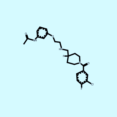 CC(=O)Nc1cccc(OCCNCC2(F)CCN(C(=O)c3ccc(F)c(Cl)c3)CC2)c1